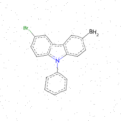 Bc1ccc2c(c1)c1cc(Br)ccc1n2-c1ccccc1